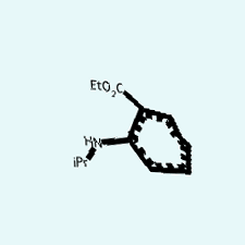 CCOC(=O)c1ccccc1NC(C)C